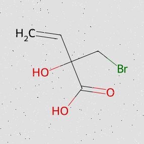 C=CC(O)(CBr)C(=O)O